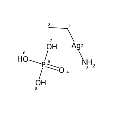 C[CH2][Ag][NH2].O=P(O)(O)O